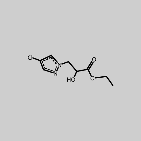 CCOC(=O)C(O)Cn1cc(Cl)cn1